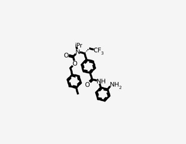 Cc1ccc(COC(=O)N(C(C)C)[C@H](CC(F)(F)F)c2ccc(C(=O)Nc3ccccc3N)cc2)cc1